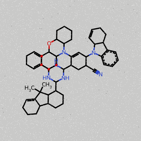 CC1(C)C2=CCCCC2C2CCCC(C3NC(C4=CCCC=C4)NC(C4CC(C#N)C(N5c6ccccc6C6CCC=CC65)C=C4N4C5CCCCC5OC5CCCCC54)N3)C21